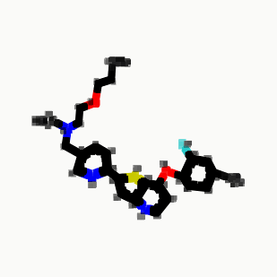 COCCOCCN(Cc1ccc(-c2cc3nccc(Oc4ccc([N+](=O)[O-])cc4F)c3s2)nc1)C(=O)O